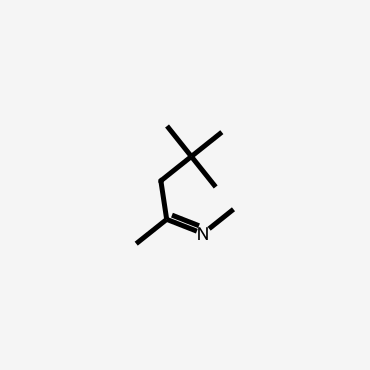 C/N=C(/C)CC(C)(C)C